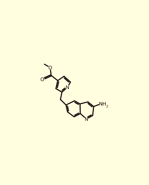 COC(=O)c1ccnc(Cc2ccc3ncc(N)cc3c2)c1